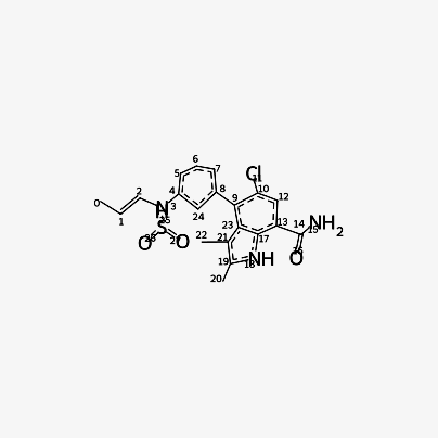 CC=CN(c1cccc(-c2c(Cl)cc(C(N)=O)c3[nH]c(C)c(C)c23)c1)[SH](=O)=O